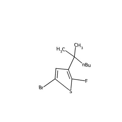 CCCCC(C)(C)c1cc(Br)sc1F